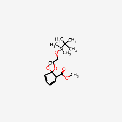 COC(=O)C1C=CC=CC1(OC)OCCO[Si](C)(C)C(C)(C)C